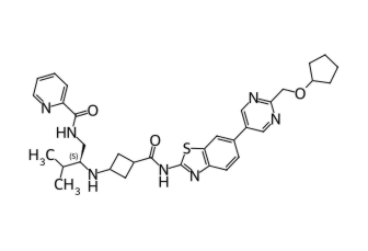 CC(C)[C@@H](CNC(=O)c1ccccn1)NC1CC(C(=O)Nc2nc3ccc(-c4cnc(COC5CCCC5)nc4)cc3s2)C1